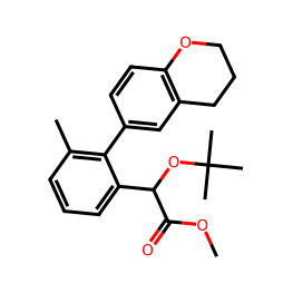 COC(=O)C(OC(C)(C)C)c1cccc(C)c1-c1ccc2c(c1)CCCO2